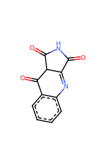 O=C1NC(=O)C2C(=O)c3ccccc3N=C12